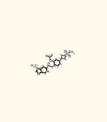 Cn1cnc2cnc(NCc3ccc(C4CN(S(C)(=O)=O)C4)cc3OC(F)F)cc21